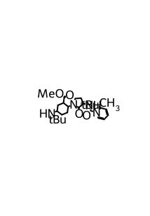 COC(=O)C1CC(NC(C)(C)C)CCC1N1CC[C@H](NC(=O)N2C=CC=CC2(C)C(C)(C)C)C1=O